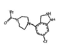 CC(C)C(=O)N1CCN(c2cc(Cl)cc3c2CNN3)CC1